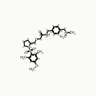 COc1cc(C)c(S(=O)(=O)N2CCCC2COCC(=O)NCc2ccc(CN(C)C)cc2)c(C)c1